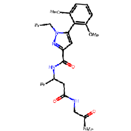 CNC(=O)CNC(=O)CC(NC(=O)c1cc(-c2c(OC)cccc2OC)n(CC(C)C)n1)C(C)C